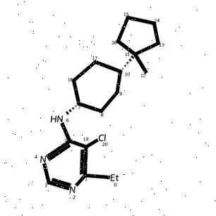 CCc1ncnc(N[C@H]2CC[C@@H](C3(C)CCCC3)CC2)c1Cl